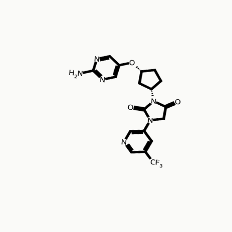 Nc1ncc(O[C@@H]2CC[C@H](N3C(=O)CN(c4cncc(C(F)(F)F)c4)C3=O)C2)cn1